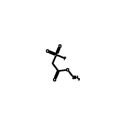 O=C(CS(=O)(=O)F)O[SiH3]